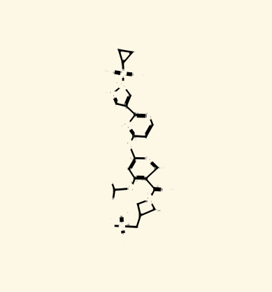 CC(C)Nc1cc(Nc2ccnc(-c3cnn(S(=O)(=O)C4CC4)c3)n2)ncc1C(=O)N1CC(CS(C)(=O)=O)C1